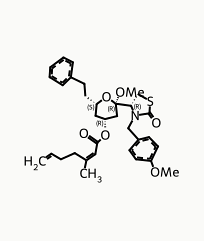 C=CCCC(C)=CC(=O)O[C@@H]1C[C@H](CCc2ccccc2)O[C@@](OC)([C@@H]2CSC(=O)N2Cc2ccc(OC)cc2)C1